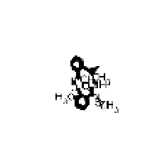 CNC(=O)/C(=N/OC)c1cccc(C)c1CO/N=C(\C)c1ccccc1C1CC1